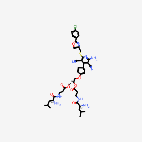 CC(C)C[C@H](N)C(=O)NCCC(=O)OC[C@H](COc1ccc(-c2c(C#N)c(N)nc(SCc3coc(-c4ccc(Cl)cc4)n3)c2C#N)cc1)OC(=O)CCNC(=O)[C@@H](N)CC(C)C